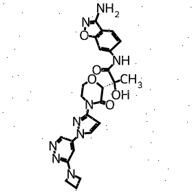 CC(O)(C(=O)Nc1ccc2c(N)noc2c1)[C@H]1OCCN(c2ccn(-c3cnnc(N4CCC4)c3)n2)C1=O